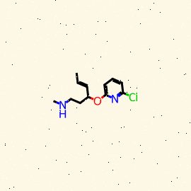 C/C=C/C(CCNC)Oc1cccc(Cl)n1